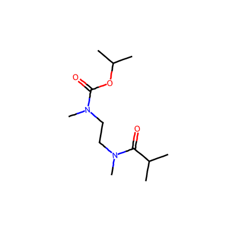 CC(C)OC(=O)N(C)CCN(C)C(=O)C(C)C